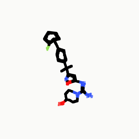 CC(C)(c1ccc(-c2ccccc2F)cc1)c1cc(/N=C(/N)N2CCC(O)CC2)on1